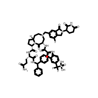 NC(=O)CC[C@H](NC(=O)[C@@H]1CC[C@@H]2CCN(Cc3cc(F)c4c(c3)C(=O)N(C3CCC(=O)NC3=O)C4)C[C@H](NC(=O)c3cc4cc(C(F)(F)P(=O)(O)O)ccc4[nH]3)C(=O)N21)C(=O)NC(c1ccccc1)c1ccccc1